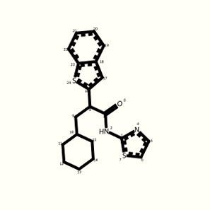 O=C(Nc1nccs1)C(CC1CCCCC1)c1cc2ccccc2s1